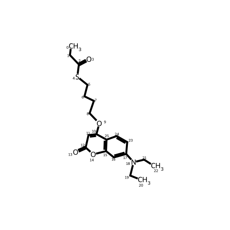 CCC(=O)SCCCCOc1cc(=O)oc2cc(N(CC)CC)ccc12